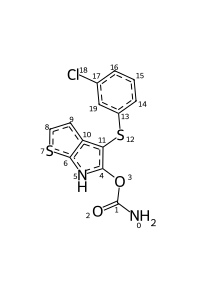 NC(=O)Oc1[nH]c2sccc2c1Sc1cccc(Cl)c1